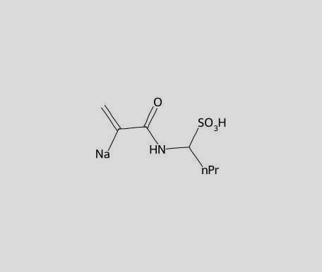 C=[C]([Na])C(=O)NC(CCC)S(=O)(=O)O